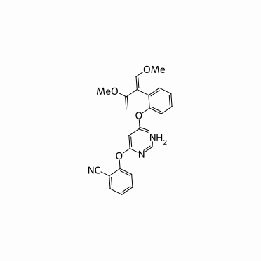 C=C(/C=C(\N=C/N)Oc1ccccc1C#N)Oc1ccccc1/C(=C\OC)C(=C)OC